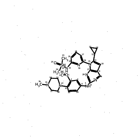 COc1cc(Nc2ncc3cc(C4CC4)n(-c4cccc(N[SH](C)(C)=O)n4)c3n2)ccc1N1CCN(C)CC1